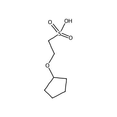 O=S(=O)(O)CCOC1CCCC1